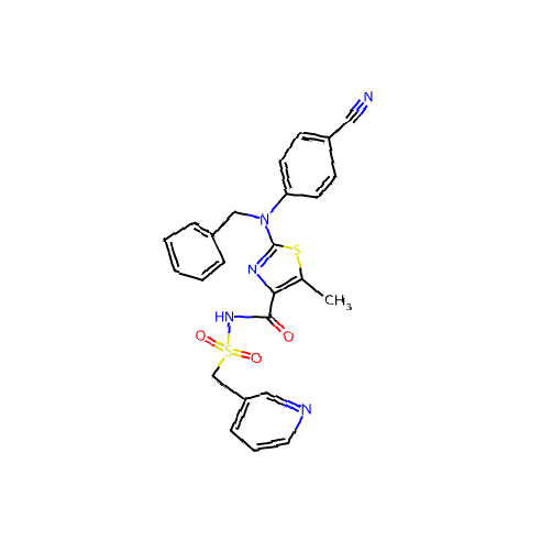 Cc1sc(N(Cc2ccccc2)c2ccc(C#N)cc2)nc1C(=O)NS(=O)(=O)Cc1cccnc1